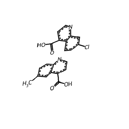 Cc1ccc2nccc(C(=O)O)c2c1.O=C(O)c1ccnc2cc(Cl)ccc12